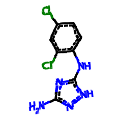 Nc1n[nH]c(Nc2ccc(Cl)cc2Cl)n1